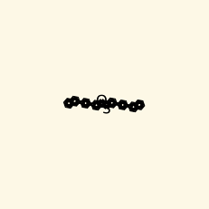 c1ccc2cc(-c3ccc(-c4ccc5c(c4)oc4c6ccc(-c7ccc(-c8ccc9ccccc9c8)cc7)cc6sc54)cc3)ccc2c1